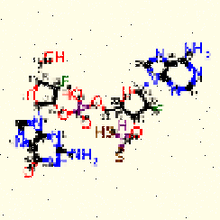 Nc1nc2c(ncn2[C@@H]2O[C@H](CO)[C@@H](F)[C@H]2OP(=O)(O)OC[C@H]2O[C@@H](n3cnc4c(N)ncnc43)[C@@H](F)[C@@H]2O[PH](=S)S)c(=O)[nH]1